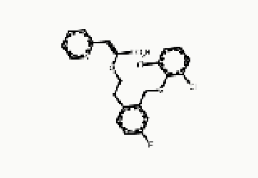 O=C(O)C(=Cc1ccccn1)OCCc1ccc(F)cc1CSc1c(Cl)cccc1Cl